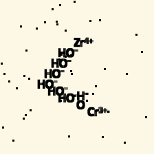 [Cr+3].[OH-].[OH-].[OH-].[OH-].[OH-].[OH-].[OH-].[Zr+4]